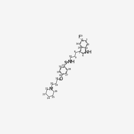 Fc1ccc2[nH]cc(CCCNSc3ccc(OCCCN4CCCCC4)cc3)c2c1